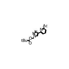 CC(=O)c1cccc(-c2cn(COC(=O)C(C)(C)C)nn2)n1